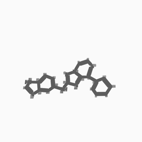 c1ccc(-c2nccn3nc(Nc4ccc5[nH]cnc5c4)nc23)cc1